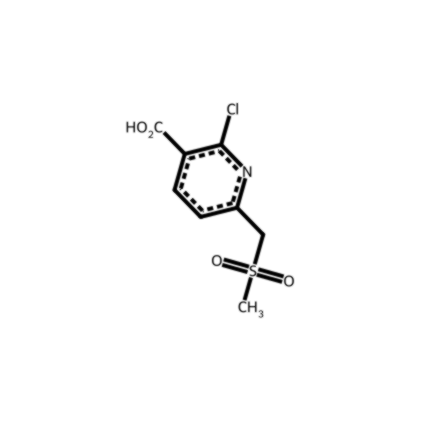 CS(=O)(=O)Cc1ccc(C(=O)O)c(Cl)n1